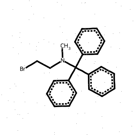 CN(CCBr)C(c1ccccc1)(c1ccccc1)c1ccccc1